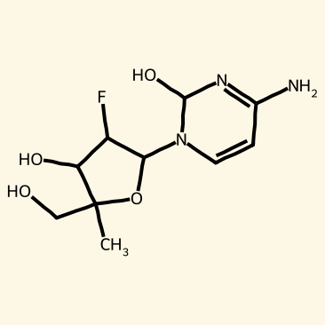 CC1(CO)OC(N2C=CC(N)=NC2O)C(F)C1O